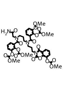 COOc1cccc(C(=O)N(CCCN(CC(N)=O)C(=O)c2cccc(OC(=O)OC)c2OC(=O)OC)CCCn2c(=O)oc3c(OC(=O)OC)cccc3c2=O)c1OC(=O)OC